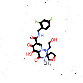 CN1C(=O)c2c(O)c(=O)c(C(=O)NCc3ccc(F)cc3F)cn2N(CCO)C12CCOC2